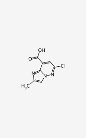 Cc1cn2nc(Cl)cc(C(=O)O)c2n1